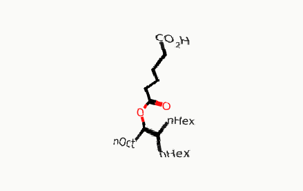 CCCCCCCCC(OC(=O)CCCCC(=O)O)C(CCCCCC)CCCCCC